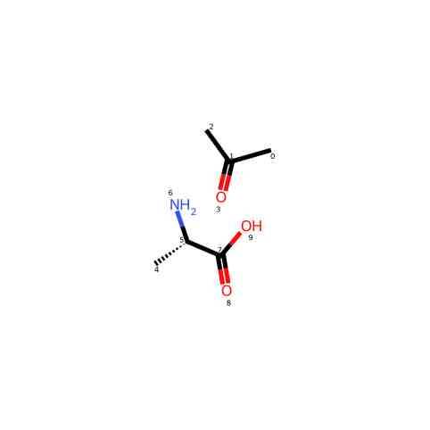 CC(C)=O.C[C@H](N)C(=O)O